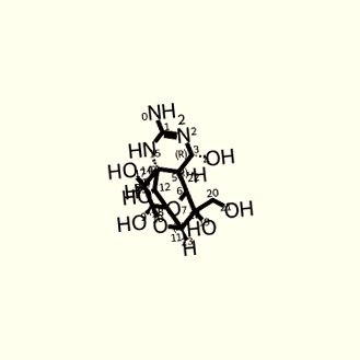 NC1=N[C@H](O)[C@H]2C3O[C@]4(O)O[C@H](C(O)[C@@]2(N1)[C@@H]4O)C3(O)CO